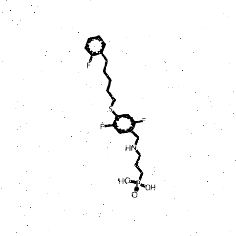 O=P(O)(O)CCCNCc1cc(F)c(SCCCCCc2ccccc2F)cc1F